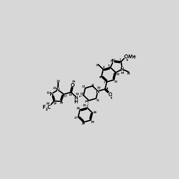 COc1nc2c(C)cc(C(=O)N3CC[C@@H](NC(=O)c4cc(C(F)(F)F)nn4C)[C@@H](c4ccccc4)C3)cc2n1C